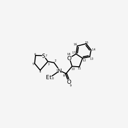 CCN(CC1CCCS1)C(=O)C1Cc2ccccc2O1